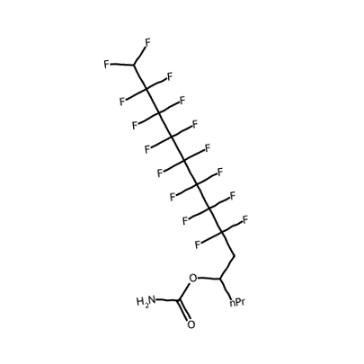 CCCC(CC(F)(F)C(F)(F)C(F)(F)C(F)(F)C(F)(F)C(F)(F)C(F)(F)C(F)F)OC(N)=O